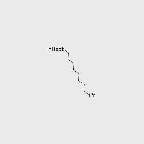 CCCCCCCCCC[CH]CCCCC(C)C